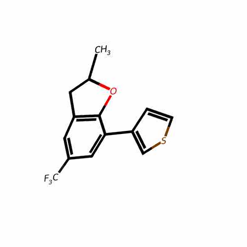 CC1Cc2cc(C(F)(F)F)cc(-c3ccsc3)c2O1